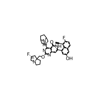 C#Cc1c(F)ccc2cc(O)cc(-c3cc4nc(OCC56CCCN5C[C@H](F)C6)nc(N5CC6CCC(C5)N6)c4c(=O)[nH]3)c12